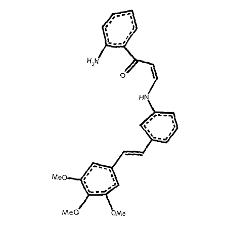 COc1cc(/C=C/c2cccc(N/C=C\C(=O)c3ccccc3N)c2)cc(OC)c1OC